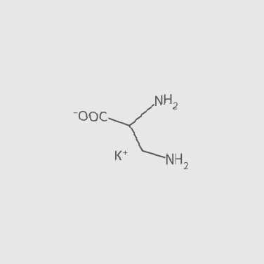 NCC(N)C(=O)[O-].[K+]